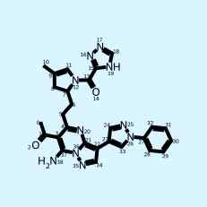 CC(=O)c1c(CCC2CC(C)=CN2C(=O)c2nnc[nH]2)nc2c(-c3cnn(-c4ccccc4)c3)cnn2c1N